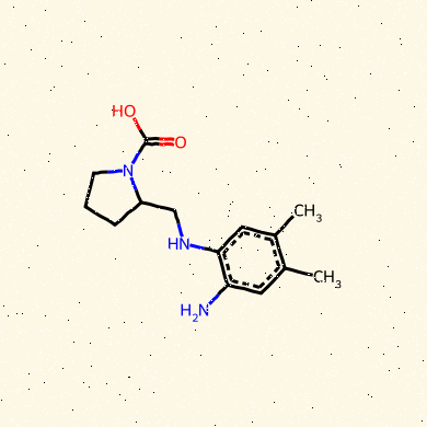 Cc1cc(N)c(NCC2CCCN2C(=O)O)cc1C